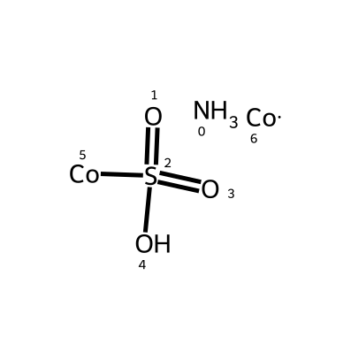 N.O=[S](=O)(O)[Co].[Co]